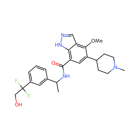 COc1c(C2CCN(C)CC2)cc(C(=O)NC(C)c2cccc(C(F)(F)CO)c2)c2[nH]ncc12